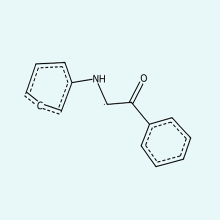 O=C([CH]Nc1ccccc1)c1ccccc1